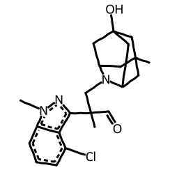 Cn1nc(C(C)(C=O)CN2C3CC4(C)CC2CC(O)(C3)C4)c2c(Cl)cccc21